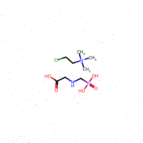 C[N+](C)(C)CCCl.O=C(O)CNCP(=O)(O)O